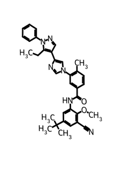 CCc1c(-c2cn(-c3cc(C(=O)Nc4cc(C(C)(C)C)cc(C#N)c4OC)ccc3C)cn2)cnn1-c1ccccc1